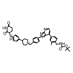 Cc1cc(-c2ccnc3nn(-c4ccc(CN5CCC(c6ccc(NC7CCC(=O)NC7=O)cc6)CC5)cc4)cc23)ccc1CNC(=O)OC(C)(C)C